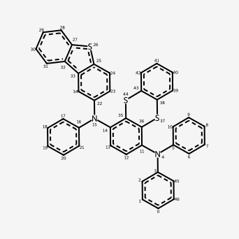 c1ccc(N(c2ccccc2)c2ccc(N(c3ccccc3)c3ccc4sc5ccccc5c4c3)c3c2Sc2ccccc2S3)cc1